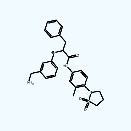 Cc1cc(NC(=O)C(Cc2ccccc2)Nc2cccc(CN)c2)ccc1N1CCCS1(=O)=O